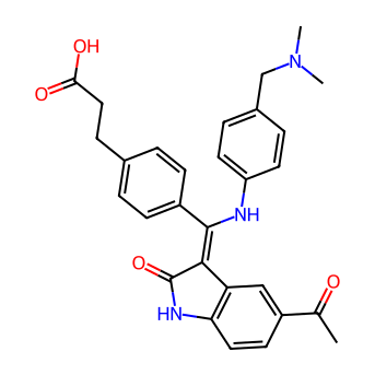 CC(=O)c1ccc2c(c1)C(=C(Nc1ccc(CN(C)C)cc1)c1ccc(CCC(=O)O)cc1)C(=O)N2